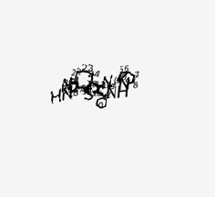 O=c1[nH]c([C@@H]2CC3CCN2C3)nc2c3c(sc12)-c1c[nH]nc1CCC3